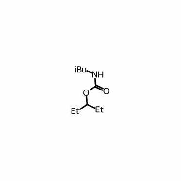 CCC(C)NC(=O)OC(CC)CC